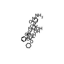 C[C@H](NP(=O)(OC[C@@]1(F)O[C@@H](n2ccc(N)nc2=O)[C@](C)(O)[C@@H]1O)Oc1ccccc1)C(=O)OC1CCCCC1